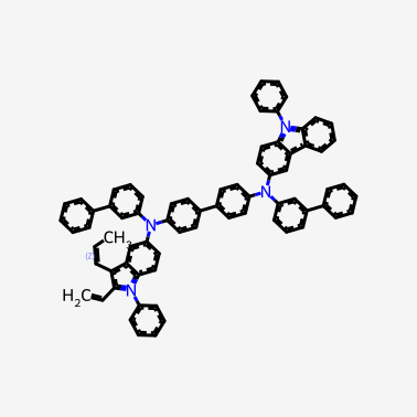 C=Cc1c(/C=C\C)c2cc(N(c3ccc(-c4ccc(N(c5cccc(-c6ccccc6)c5)c5ccc6c(c5)c5ccccc5n6-c5ccccc5)cc4)cc3)c3cccc(-c4ccccc4)c3)ccc2n1-c1ccccc1